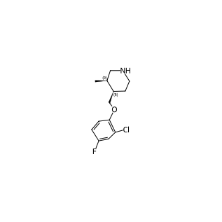 C[C@H]1CNCC[C@H]1COc1ccc(F)cc1Cl